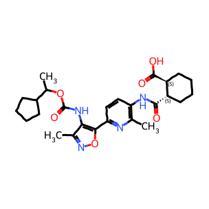 Cc1nc(-c2onc(C)c2NC(=O)OC(C)C2CCCC2)ccc1NC(=O)[C@H]1CCCC[C@@H]1C(=O)O